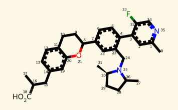 Cc1cc(-c2ccc(C3CCc4ccc(CC(C)C(=O)O)cc4O3)cc2CN2C(C)CC[C@H]2C)c(F)cn1